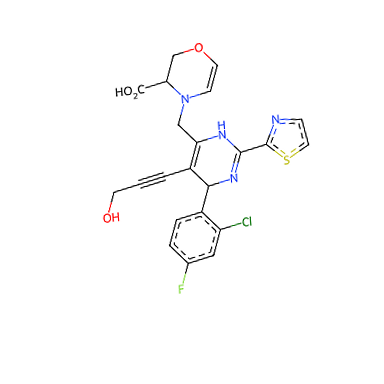 O=C(O)C1COC=CN1CC1=C(C#CCO)C(c2ccc(F)cc2Cl)N=C(c2nccs2)N1